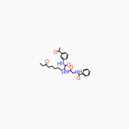 CCC(=O)CCCCC[C@H](NC(=O)CNC(=O)c1ccccc1)C(=O)Nc1cccc(C(C)=O)c1